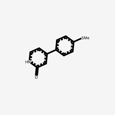 CSc1ccc(-c2cc[nH]c(=O)c2)cc1